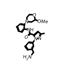 COC1CN(c2ccccc2NC(=O)c2cc(C)nn2-c2cccc(CN)c2)CCO1